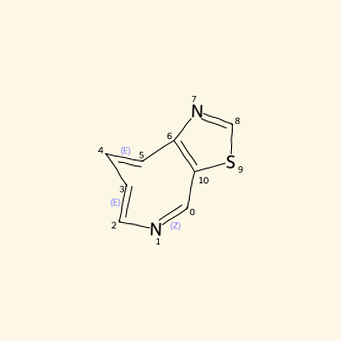 C1=N/C=C/C=C/c2ncsc2\1